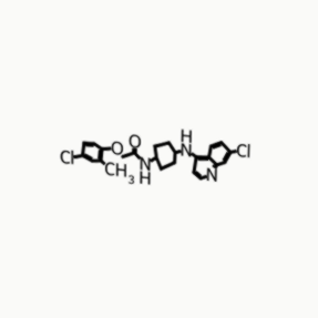 Cc1cc(Cl)ccc1OCC(=O)NC1CCC(Nc2ccnc3cc(Cl)ccc23)CC1